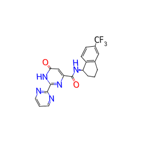 O=C(N[C@@H]1CCCc2cc(C(F)(F)F)ccc21)c1cc(=O)[nH]c(-c2ncccn2)n1